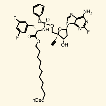 C#C[C@]1(COP(=O)(N[C@@H](Cc2cc(F)cc(F)c2)C(=O)OCCCCCCCCCCCCCCCCCCCC)Oc2ccccc2)O[C@@H](n2cnc3c(N)nc(F)nc32)C[C@@H]1O